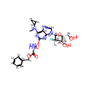 CN(c1nc(ONC(=O)OCc2ccccc2)nc2c1ncn2[C@@H]1O[C@H](CO)[C@@H](O)[C@@]1(C)F)C1CC1